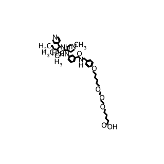 C=C(NC(c1ccncc1)C(CC)C(C)CC)C1(Nc2cccc(C(=O)NCc3ccc(OCCCCCCOCCOCCOCCCCCC(=O)O)cc3)c2)CCN(C)CC1